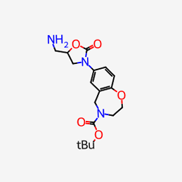 CC(C)(C)OC(=O)N1CCOc2ccc(N3CC(CN)OC3=O)cc2C1